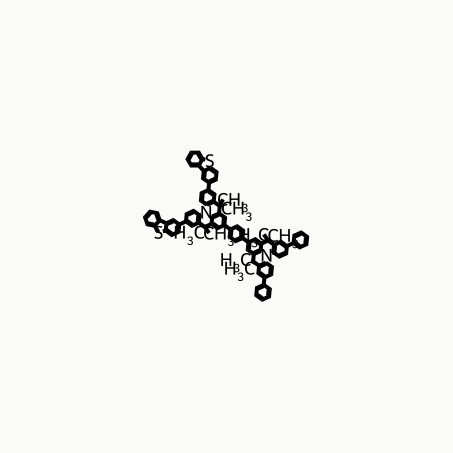 CC1(C)c2cc(-c3ccccc3)ccc2N2c3ccc(-c4ccccc4)cc3C(C)(C)c3cc(-c4ccc(-c5cc6c7c(c5)C(C)(C)c5cc(-c8ccc9sc%10ccccc%10c9c8)ccc5N7c5ccc(-c7ccc8sc9ccccc9c8c7)cc5C6(C)C)cc4)cc1c32